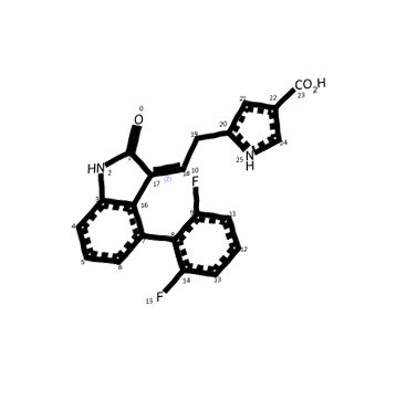 O=C1Nc2cccc(-c3c(F)cccc3F)c2/C1=C/Cc1cc(C(=O)O)c[nH]1